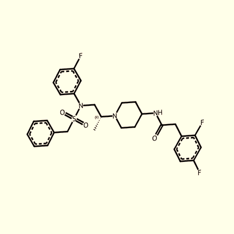 C[C@H](CN(c1cccc(F)c1)S(=O)(=O)Cc1ccccc1)N1CCC(NC(=O)Cc2ccc(F)cc2F)CC1